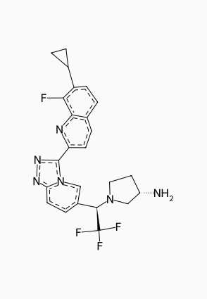 N[C@H]1CCN([C@H](c2ccc3nnc(-c4ccc5ccc(C6CC6)c(F)c5n4)n3c2)C(F)(F)F)C1